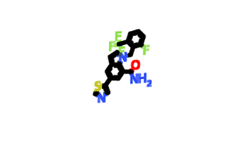 NC(=O)c1cc(-c2cncs2)cc2ccn(Cc3c(F)cccc3C(F)(F)F)c12